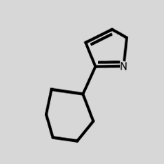 C1=CC(C2CCCCC2)=NC1